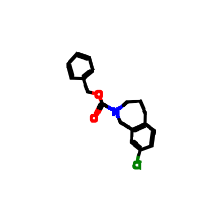 O=C(OCc1ccccc1)N1CCCc2ccc(Cl)cc2C1